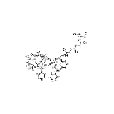 CCC(COC(=O)CCC(=O)NCC(=O)O[C@@H](C(=O)O[C@H]1C[C@@]2(O)[C@@H](OC(=O)c3ccccc3)C3[C@](C)(C(=O)[C@H](OC(C)=O)C(=C1C)C2(C)C)[C@@H](O)C[C@H]1OC[C@@]31C(C)=O)[C@@H](NC(=O)c1ccccc1)c1ccccc1)OC(CO)OC